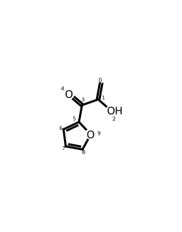 C=C(O)C(=O)c1ccco1